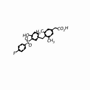 Cc1cc(CC(=O)O)cc(C)c1Cc1ccc(O)c(S(=O)(=O)c2ccc(F)cc2)c1